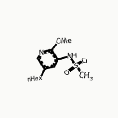 CCCCCCc1cnc(OC)c(NS(C)(=O)=O)c1